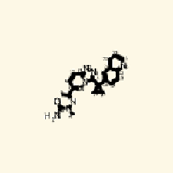 CC(=NN(C)C(N)=O)c1ccc2nnc(C3(c4ccc5ncccc5c4)CC3)n2n1